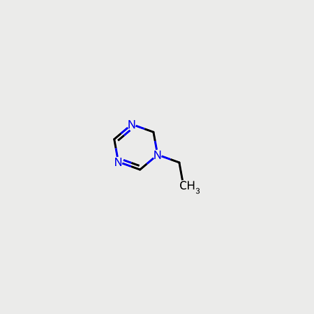 CCN1C=NC=NC1